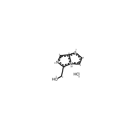 Cl.OCc1ncc2sccn12